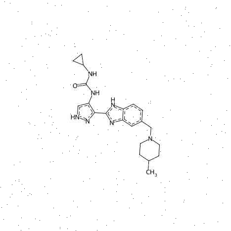 CC1CCN(Cc2ccc3[nH]c(-c4n[nH]cc4NC(=O)NC4CC4)nc3c2)CC1